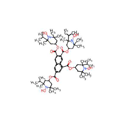 CC(C)C1(C)CC(OC(=O)c2cc(C(=O)OC3CC(C)(C)N(O)C(C)(C(C)C)C3)c3cc(C(=O)OC4CC(C)(C)N(O)C(C)(C(C)C)C4)c(C(=O)OC4CC(C)(C)N(O)C(C)(C(C)C)C4)cc3c2)CC(C)(C)N1O